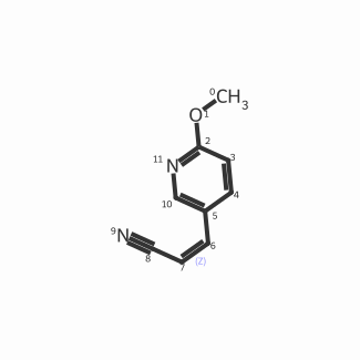 COc1ccc(/C=C\C#N)cn1